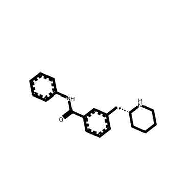 O=C(Nc1ccccc1)c1cccc([CH][C@H]2CCCCN2)c1